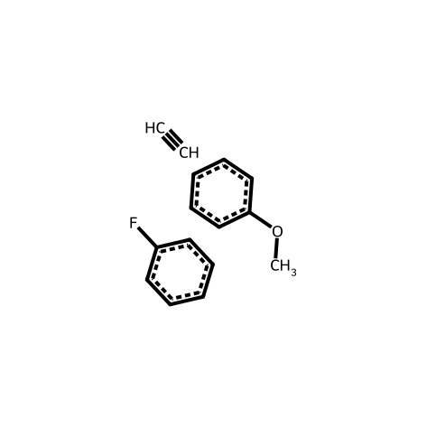 C#C.COc1ccccc1.Fc1ccccc1